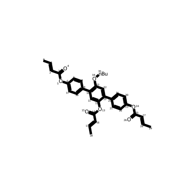 C/C=C/C(=O)Oc1ccc(-c2cc(OC(=O)/C=C/C)c(-c3ccc(OC(=O)/C=C/C)cc3)cc2OCCCC)cc1